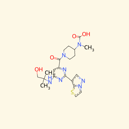 CN(C(=O)O)C1CCN(C(=O)c2cc(NC(C)(C)CO)nc(-c3cnn4ccsc34)n2)CC1